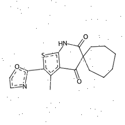 Cc1c(-c2ncco2)sc2c1C(=O)C1(CCCCCC1)C(=O)N2